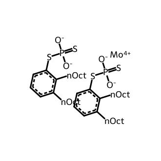 CCCCCCCCc1cccc(SP([O-])([O-])=S)c1CCCCCCCC.CCCCCCCCc1cccc(SP([O-])([O-])=S)c1CCCCCCCC.[Mo+4]